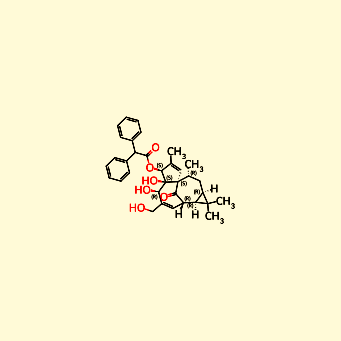 CC1=C[C@]23C(=O)[C@@H](C=C(CO)[C@@H](O)[C@]2(O)[C@H]1OC(=O)C(c1ccccc1)c1ccccc1)[C@H]1[C@@H](C[C@H]3C)C1(C)C